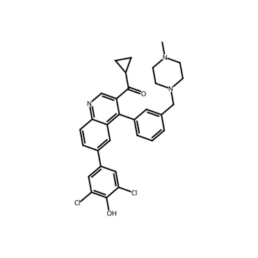 CN1CCN(Cc2cccc(-c3c(C(=O)C4CC4)cnc4ccc(-c5cc(Cl)c(O)c(Cl)c5)cc34)c2)CC1